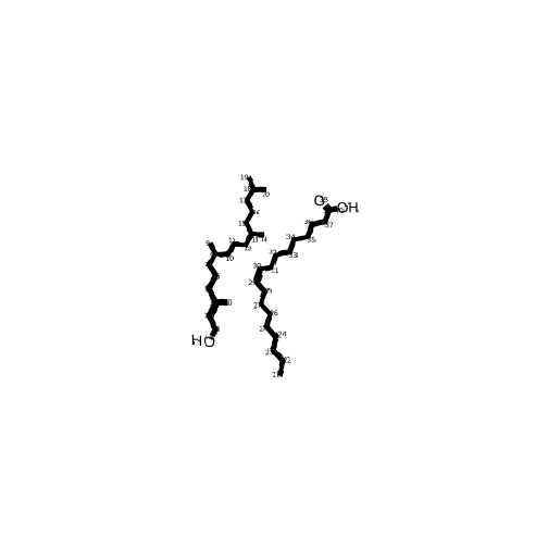 C/C(=C\CO)CCCC(C)CCCC(C)CCCC(C)C.CCCCCCCC/C=C\CCCCCCCC(=O)O